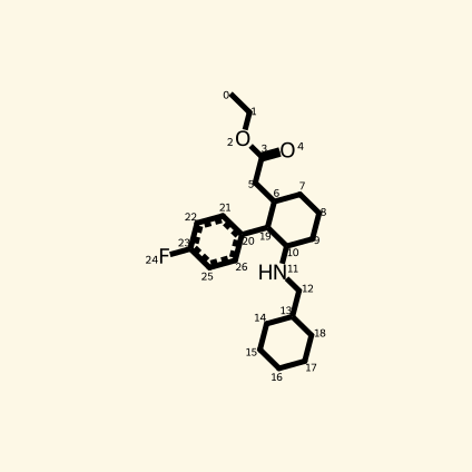 CCOC(=O)CC1CCCC(NCC2CCCCC2)C1c1ccc(F)cc1